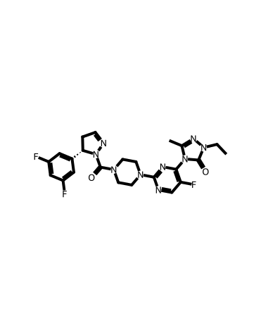 CCn1nc(C)n(-c2nc(N3CCN(C(=O)N4N=CC[C@H]4c4cc(F)cc(F)c4)CC3)ncc2F)c1=O